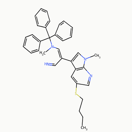 CCCCSc1cnc2c(c1)c(/C(C=N)=C/N(C)C(c1ccccc1)(c1ccccc1)c1ccccc1)cn2C